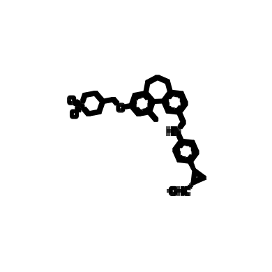 Cc1cc(OCC2CCS(=O)(=O)CC2)cc2c1-c1cc(CNc3ccc([C@H]4C[C@@H]4[C]=O)cc3)ccc1CCC2